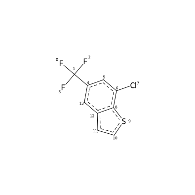 FC(F)(F)c1cc(Cl)c2sc[c]c2c1